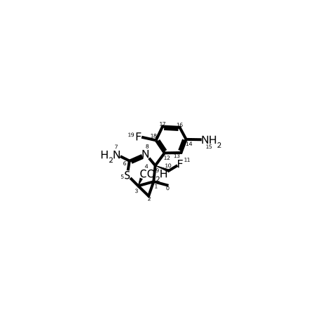 CC12C[C@]1(C(=O)O)SC(N)=N[C@]2(CF)c1cc(N)ccc1F